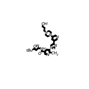 Cc1ncc(C(=O)Nc2cc(C(C)(C)C)on2)cc1-n1cc(-c2cncc(N3CCN(CCCO)CC3)c2)nn1